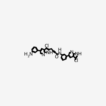 Nc1cccc(-c2cnc3[nH]c(CC#CC(=O)Nc4cccc(-c5cnc6[nH]cc(Cl)c6c5)c4)c(Cl)c3c2)c1